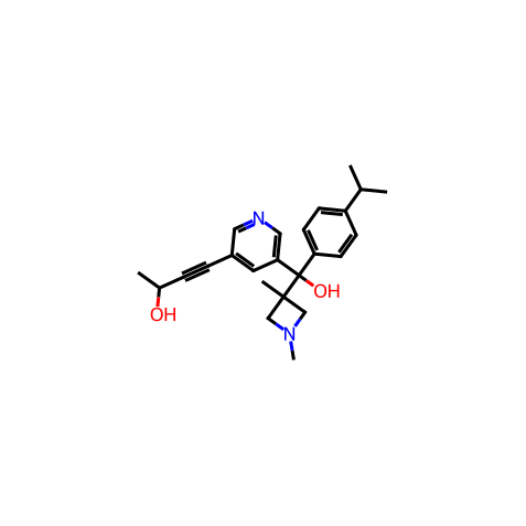 CC(O)C#Cc1cncc(C(O)(c2ccc(C(C)C)cc2)C2(C)CN(C)C2)c1